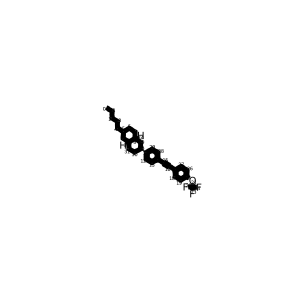 CCCCCC1CC[C@@H]2C[C@H](c3ccc(C#Cc4ccc(OC(F)(F)F)cc4)cc3)CC[C@@H]2C1